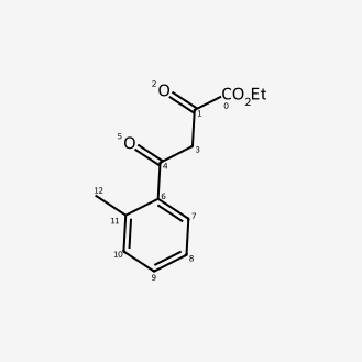 CCOC(=O)C(=O)CC(=O)c1ccccc1C